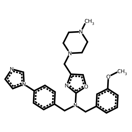 COc1cccc(CN(Cc2ccc(-n3ccnc3)cc2)c2nc(CN3CCN(C)CC3)co2)c1